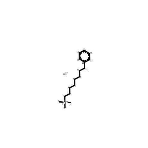 C[N+](C)(C)CCCCCCCCc1ccccc1.[I-]